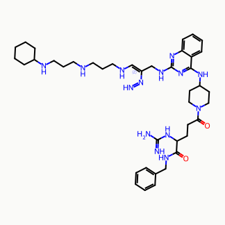 N=N/C(=C\NCCCNCCCNC1CCCCC1)CNc1nc(NC2CCN(C(=O)CCC(NC(=N)N)C(=O)NCc3ccccc3)CC2)c2ccccc2n1